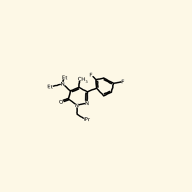 CCN(CC)c1c(C)c(-c2ccc(F)cc2F)nn(CC(C)C)c1=O